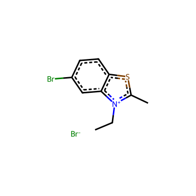 CC[n+]1c(C)sc2ccc(Br)cc21.[Br-]